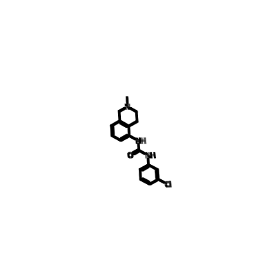 CN1CCc2c(cccc2NC(=O)Nc2cccc(Cl)c2)C1